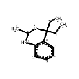 CCC1(CC)OC(C)Nc2ccccc21